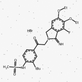 Br.CCOc1cc2c(c(F)c1OCC)C(=N)N(CC(=O)c1ccc(NS(C)(=O)=O)c(C(C)(C)C)c1)C2